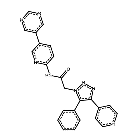 O=C(Cn1nnc(-c2ccncc2)c1-c1ccccc1)Nc1ccc(-c2cncnc2)cn1